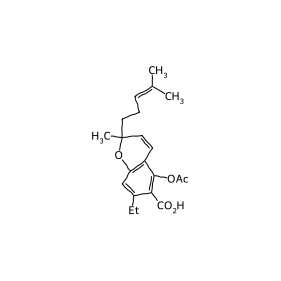 CCc1cc2c(c(OC(C)=O)c1C(=O)O)C=CC(C)(CCC=C(C)C)O2